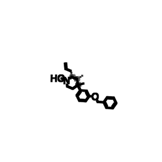 C=CC[C@@H]1[C@H](C)[C@](C)(c2cccc(OCc3ccccc3)c2)CCN1O